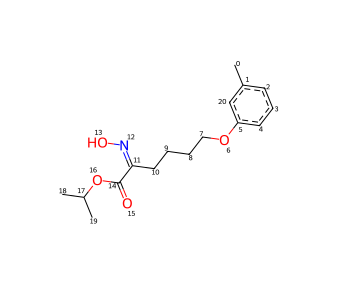 Cc1cccc(OCCCCC(=NO)C(=O)OC(C)C)c1